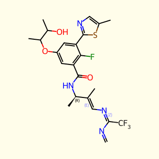 C=N/C(=N\C=C(/C)[C@@H](C)NC(=O)c1cc(OC(C)C(C)O)cc(-c2ncc(C)s2)c1F)C(F)(F)F